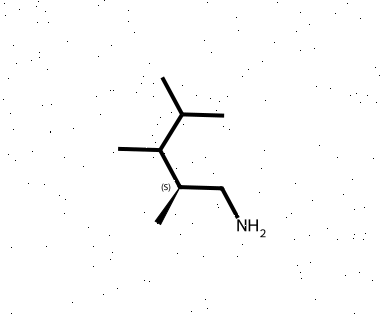 CC(C)C(C)[C@H](C)CN